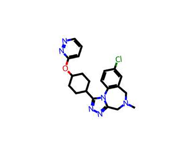 CN1Cc2cc(Cl)ccc2-n2c(nnc2C2CCC(Oc3cccnn3)CC2)C1